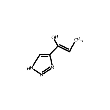 CC=C(O)c1c[nH]nn1